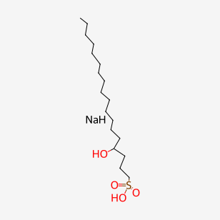 CCCCCCCCCCCCCCC(O)CCCS(=O)(=O)O.[NaH]